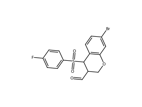 O=CC1COc2cc(Br)ccc2C1S(=O)(=O)c1ccc(F)cc1